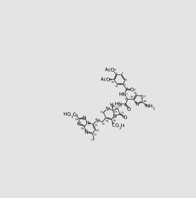 CC(=O)Oc1ccc(C(=O)NC(C(=O)N[C@@H]2C(=O)N3C(C(=O)O)=C(CSc4cc(C)nc5nc(C(=O)O)nn45)CS[C@H]23)c2csc(N)n2)cc1OC(C)=O